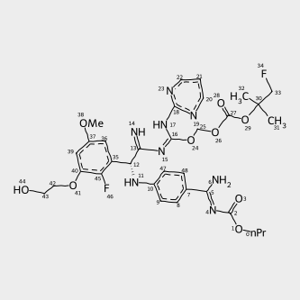 CCCOC(=O)/N=C(\N)c1ccc(N[C@@H](C(=N)/N=C(\Nc2ncccn2)OCOC(=O)OC(C)(C)CF)c2cc(OC)cc(OCCO)c2F)cc1